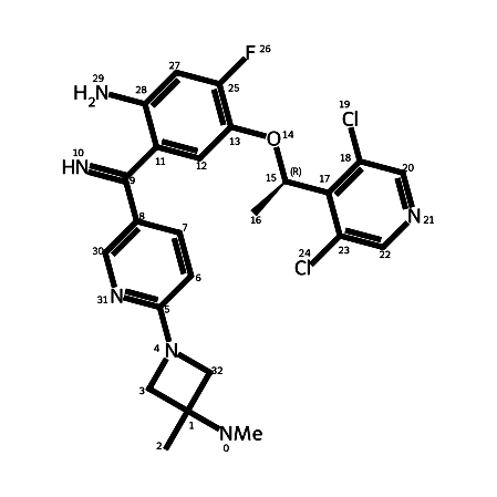 CNC1(C)CN(c2ccc(C(=N)c3cc(O[C@H](C)c4c(Cl)cncc4Cl)c(F)cc3N)cn2)C1